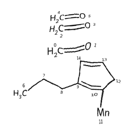 C=O.C=O.C=O.CCCC1=[C]([Mn])CC=C1